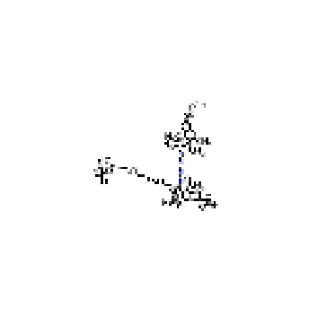 Cc1cc2cc(SOOO)ccc2c2c1[N+](C)=C(/C=C/C=C/C=C/C=C1/N(OCCOCCOCCOCCCCC(=O)ON3C(=O)CCC3=O)c3c(S(=O)(=O)O)cc4cc(S(=O)(=O)O)ccc4c3C1(C)C)C2(C)C